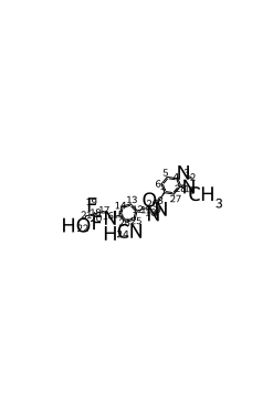 Cn1cnc2ccc(-c3nnc(-c4ccc(NCC(F)(F)CO)c(C#N)c4)o3)cc21